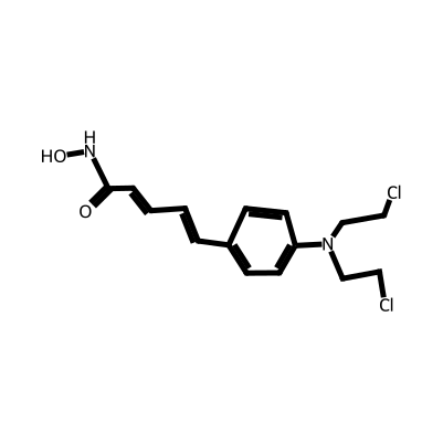 O=C(/C=C/C=C/c1ccc(N(CCCl)CCCl)cc1)NO